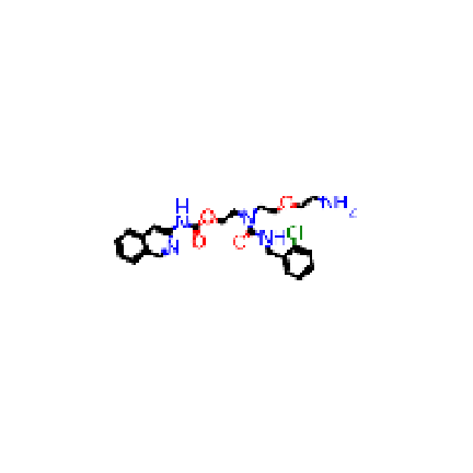 NCCOCCN(CCOC(=O)Nc1cc2ccccc2cn1)C(=O)NCc1ccccc1Cl